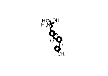 Cc1cccc(Oc2ccc3sc4cc(CCC(N)(CO)CO)ccc4c(=O)c3c2)c1